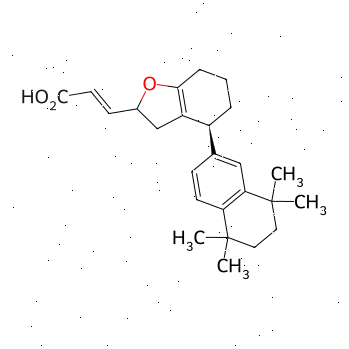 CC1(C)CCC(C)(C)c2cc([C@@H]3CCCC4=C3CC(/C=C/C(=O)O)O4)ccc21